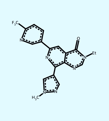 CCn1cnc2c(-c3cnn(C)c3)nc(-c3ccc(C(F)(F)F)nc3)cc2c1=O